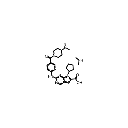 CN(C)C1CCN(C(=O)c2ccc(Nc3ncc4cc(C(=O)O)n(C5CCCC5)c4n3)nc2)CC1.CNC